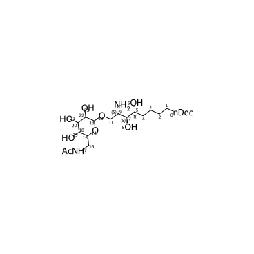 CCCCCCCCCCCCCC[C@@H](O)[C@@H](O)[C@@H](N)COC1OC(CNC(C)=O)C(O)C(O)C1O